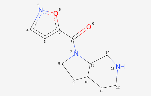 O=C(c1ccno1)N1CCC2CCNCC21